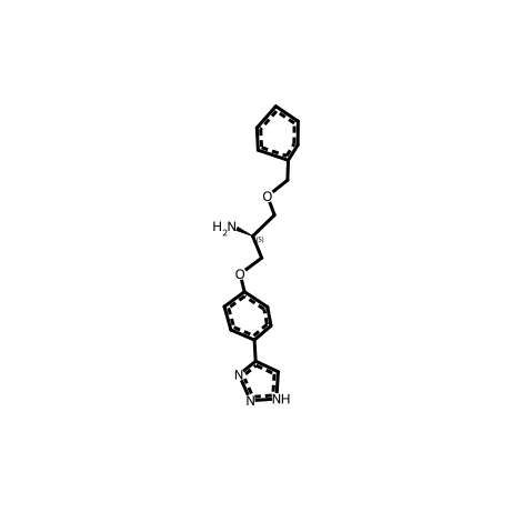 N[C@@H](COCc1ccccc1)COc1ccc(-c2c[nH]nn2)cc1